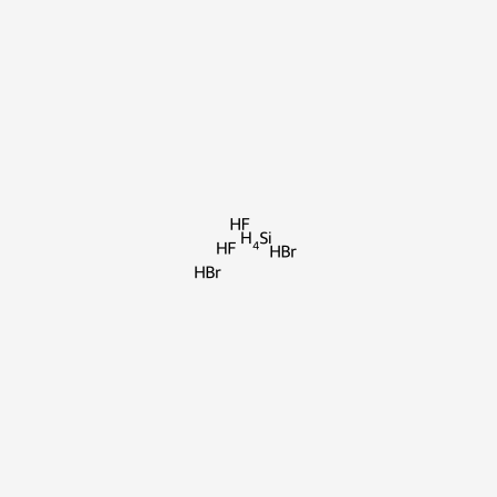 Br.Br.F.F.[SiH4]